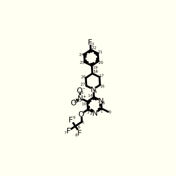 Cc1nc(OCC(F)(F)F)c([N+](=O)[O-])c(N2CCC(c3ccc(F)cc3)CC2)n1